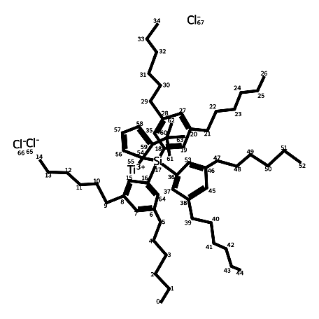 CCCCCCc1cc(CCCCCC)cc([Si](c2cc(CCCCCC)cc(CCCCCC)c2)(c2cc(CCCCCC)cc(CCCCCC)c2)[C]2([Ti+3])C=CC=C2C(C)(C)C)c1.[Cl-].[Cl-].[Cl-]